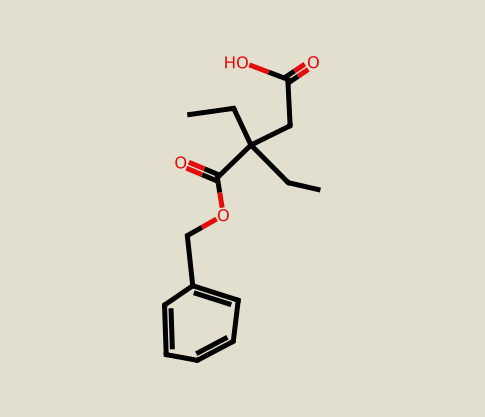 CCC(CC)(CC(=O)O)C(=O)OCc1ccccc1